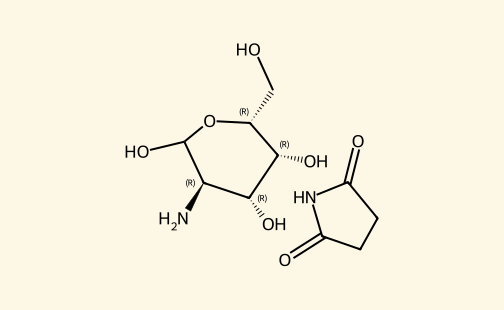 N[C@H]1C(O)O[C@H](CO)[C@H](O)[C@@H]1O.O=C1CCC(=O)N1